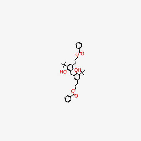 CC(C)(C)c1cc(CCCOC(=O)c2ccccc2)cc(Cc2cc(CCCOC(=O)c3ccccc3)cc(C(C)(C)C)c2O)c1O